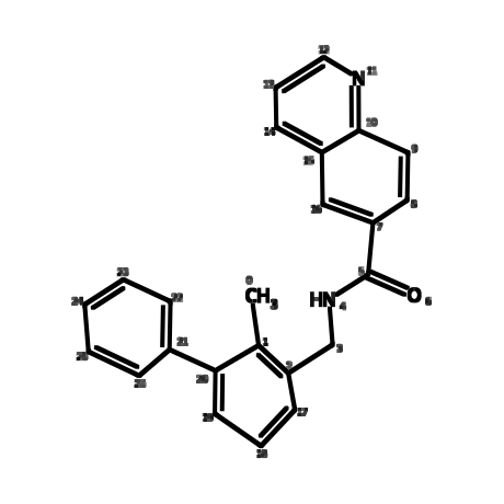 Cc1c(CNC(=O)c2ccc3ncccc3c2)cccc1-c1ccccc1